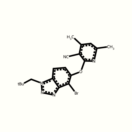 Cc1cc(C)c(C#N)c(Oc2ccc3c(nnn3CC(C)(C)C)c2Br)n1